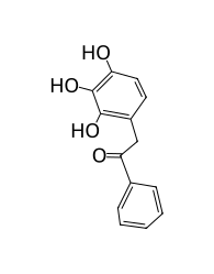 O=C(Cc1ccc(O)c(O)c1O)c1ccccc1